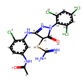 CC(=O)Nc1ccc(Cl)c(NC2=NN(c3c(Cl)cc(Cl)cc3Cl)C(=O)C2SC(=N)N)c1